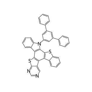 c1ccc(-c2cc(-c3ccccc3)cc(-n3c4ccccc4c4c5sc6ncncc6c5c5c6ccccc6sc5c43)c2)cc1